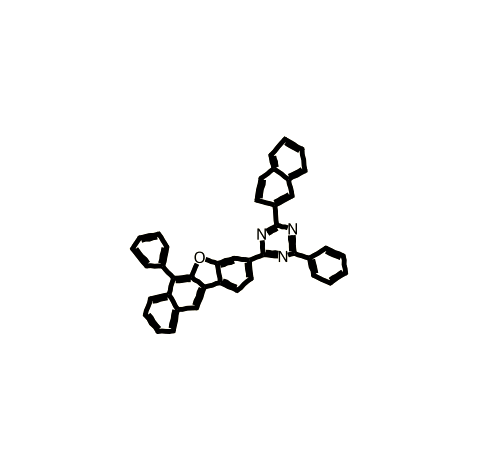 c1ccc(-c2nc(-c3ccc4ccccc4c3)nc(-c3ccc4c(c3)oc3c(-c5ccccc5)c5ccccc5cc34)n2)cc1